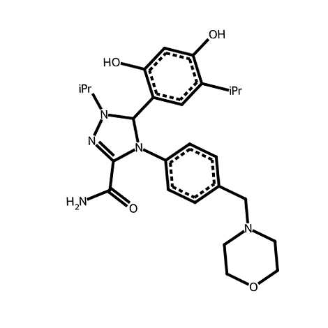 CC(C)c1cc(C2N(c3ccc(CN4CCOCC4)cc3)C(C(N)=O)=NN2C(C)C)c(O)cc1O